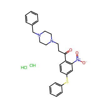 Cl.Cl.O=C(CCN1CCN(Cc2ccccc2)CC1)c1ccc(Sc2ccccc2)cc1[N+](=O)[O-]